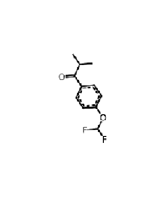 CC(C)C(=O)c1ccc(OC(F)F)cc1